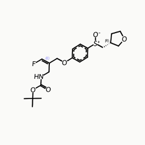 CC(C)(C)OC(=O)NC/C(=C\F)COc1ccc([S+]([O-])C[C@@H]2CCOC2)cc1